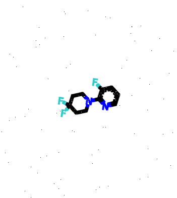 Fc1cccnc1N1CCC(F)(F)CC1